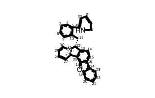 C1=CCNC(c2ccccc2C[C@@H]2c3ccc4c(oc5ccccc54)c3C3C=CC=CN32)=C1